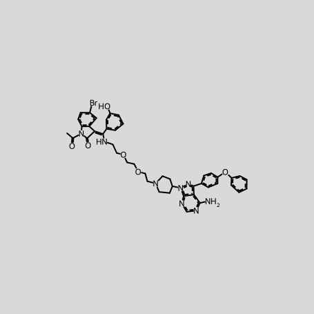 CC(=O)N1C(=O)/C(=C(\NCCOCCOCCN2CCC(n3nc(-c4ccc(Oc5ccccc5)cc4)c4c(N)ncnc43)CC2)c2cccc(O)c2)c2cc(Br)ccc21